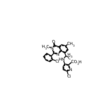 Cc1cc(C(C)Nc2ccc(Cl)nc2C(=O)O)c2nc(-c3ccccc3Cl)n(C)c(=O)c2c1